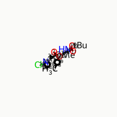 COC(=O)[C@]1(c2cc(C)ccc2OCCCNC(=O)OC(C)(C)C)C[C@H]1c1cccc(Cl)n1